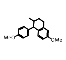 COc1ccc(C2c3ccc(OC)cc3CCC2C)cc1